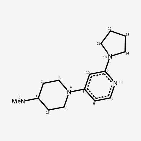 CNC1CCN(c2ccnc(N3CCCC3)c2)CC1